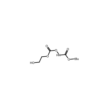 CC(C)(C)OC(=O)NOC(=O)OCCO